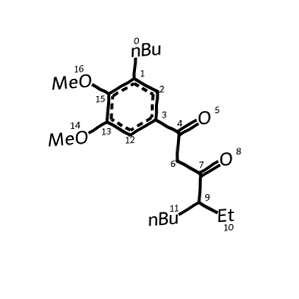 CCCCc1cc(C(=O)CC(=O)C(CC)CCCC)cc(OC)c1OC